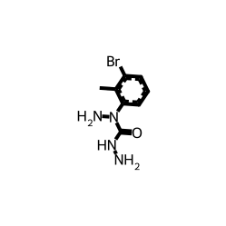 Cc1c(Br)cccc1N(N)C(=O)NN